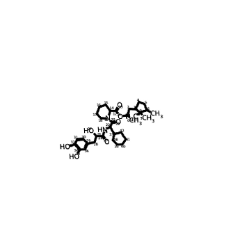 CC(CC1CCC(C)C1(C)C)OC(=O)C1CCCCN1C(=O)C(NC(=O)C(O)Cc1ccc(O)c(O)c1)C1CCCCC1